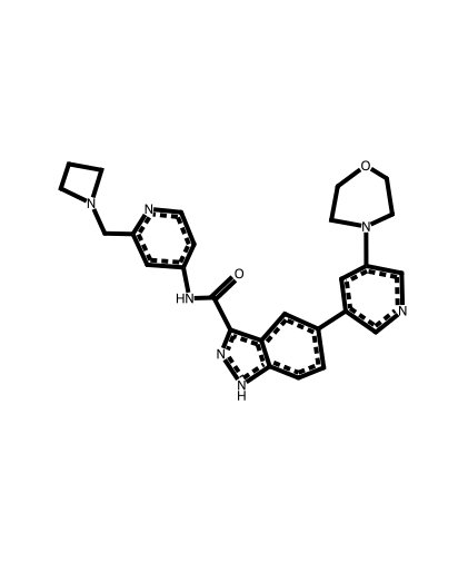 O=C(Nc1ccnc(CN2CCC2)c1)c1n[nH]c2ccc(-c3cncc(N4CCOCC4)c3)cc12